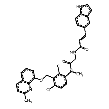 Cc1ccc2cccc(OCc3c(Cl)ccc(N(C)C(=O)CNC(=O)C=Cc4ccc5[nH]ccc5c4)c3Cl)c2n1